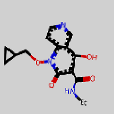 CCNC(=O)c1c(O)c2cnccc2n(OCC2CC2)c1=O